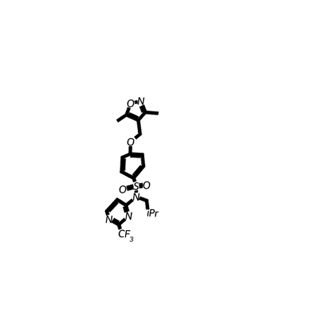 Cc1noc(C)c1COc1ccc(S(=O)(=O)N(CC(C)C)c2ccnc(C(F)(F)F)n2)cc1